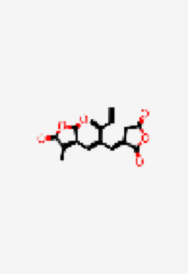 C=CC(=C)C(=C\C1=C(C)C(=O)OC1=O)/C=C1\CC(=O)OC1=O